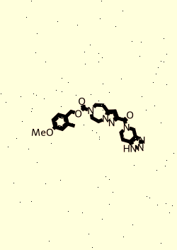 COc1ccc(COC(=O)N2CCc3cc(C(=O)N4CCc5[nH]nnc5C4)nn3CC2)c(C)c1